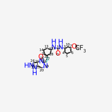 O=C(Nc1cccc(OC(F)(F)F)c1)Nc1ccc(ON2C=NC=C3NNC=C32)c(F)c1